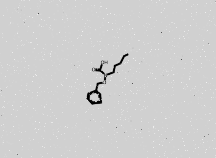 CCCCCN(OCc1ccccc1)C(=O)O